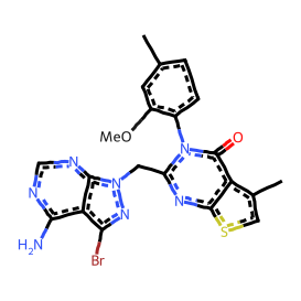 COc1cc(C)ccc1-n1c(Cn2nc(Br)c3c(N)ncnc32)nc2scc(C)c2c1=O